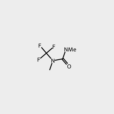 CNC(=O)N(C)C(F)(F)F